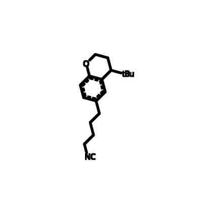 [C-]#[N+]CCCCc1ccc2c(c1)C(C(C)(C)C)CCO2